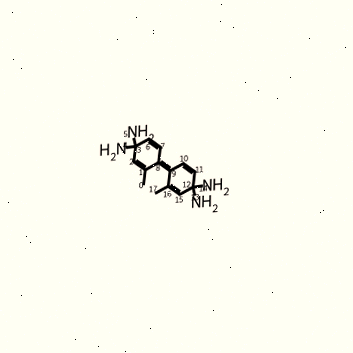 CC1=CC(N)(N)C=C/C1=C1\C=CC(N)(N)C=C1C